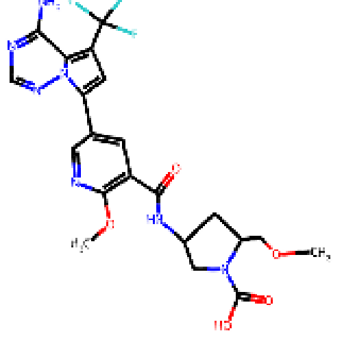 COCC1CC(NC(=O)c2cc(-c3cc(C(F)(F)F)c4c(N)ncnn34)cnc2OC)CN1C(=O)O